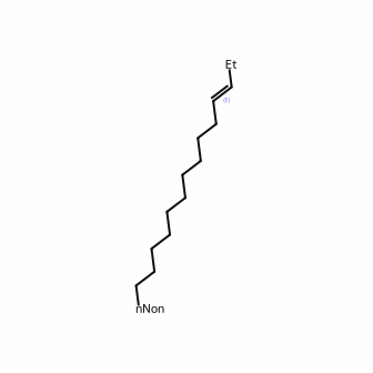 CC/C=C/CCCCCCCCCCCCCCCCCCC